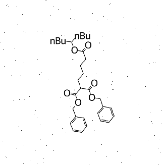 CCCCC(CCCC)OC(=O)CCCCC(C(=O)OCc1ccccc1)C(=O)OCc1ccccc1